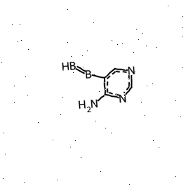 B=Bc1cncnc1N